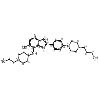 N#CCCN1CCC(Nc2c(Cl)cnc3[nH]c(-c4ccc(N5CCN(CCCO)CC5)cc4)nc23)CC1